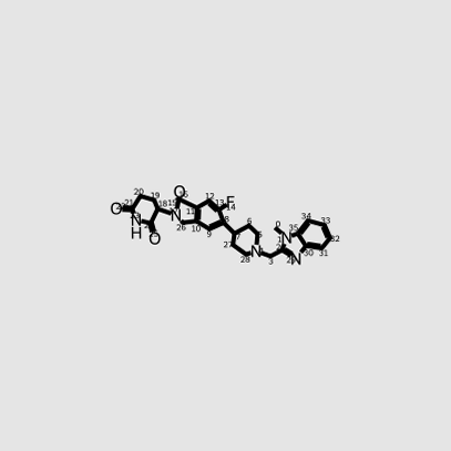 Cn1c(CN2CCC(c3cc4c(cc3F)C(=O)N(C3CCC(=O)NC3=O)C4)CC2)nc2ccccc21